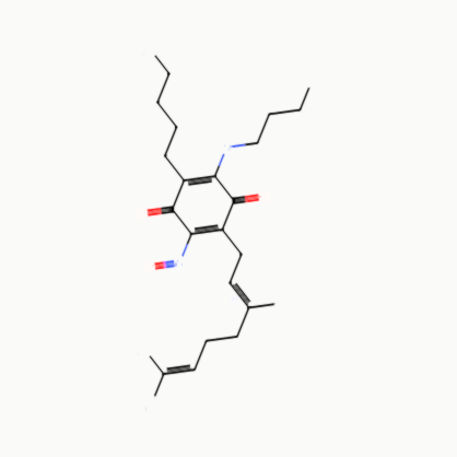 CCCCCC1=C(NCCCC)C(=O)C(C/C=C(\C)CCC=C(C)C)=C(N=O)C1=O